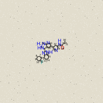 N=C(c1nc2c(-c3ccccc3F)cccc2[nH]1)c1cc(-c2cncc(NC(=O)C3CC3)c2)cnc1N